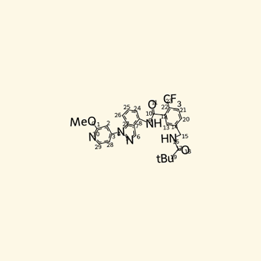 COc1cc(-n2ncc3c(NC(=O)c4cc(CNC(=O)C(C)(C)C)ccc4C(F)(F)F)cccc32)ccn1